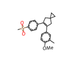 COc1ccc(C2=C(c3ccc(S(C)(=O)=O)cc3)CC3(CC3)C2)cc1C